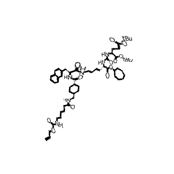 C=CCOC(=O)NCCCCCC(=O)NC[C@H]1CC[C@H](C(=O)N[C@@H](Cc2ccc3ccccc3c2)C(=O)NCCCC[C@H](NC(=O)N[C@@H](CCC(=O)OC(C)(C)C)C(=O)OC(C)(C)C)C(=O)OC2CCCCCC2)CC1